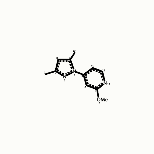 COc1cc(-n2nc(C)cc2C)ccn1